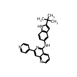 CC(C)(C)c1cc2cc(Nc3nc(-c4ccncc4)cc4ncccc34)ccc2[nH]1